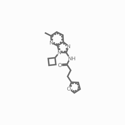 Cc1ccc2nc(NC(=O)CCc3ccco3)n(C3CCC3)c2n1